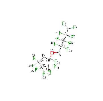 FC(F)C(F)(F)C(F)(F)C(F)(F)COC1(F)CC(F)(F)C(F)(F)C1(F)Cl